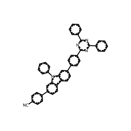 N#Cc1ccc(-c2ccc3c4ccc(-c5ccc(-c6nc(-c7ccccc7)nc(-c7ccccc7)n6)cc5)cc4n(-c4ccccc4)c3c2)cc1